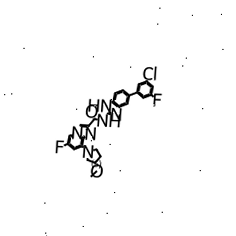 CO[C@H]1CCN(c2cc(F)cn3cc(C(=O)Nc4nc5cc(-c6cc(F)cc(Cl)c6)ccc5[nH]4)nc23)C1